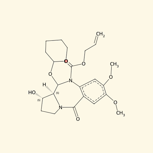 C=CCOC(=O)N1c2cc(OC)c(OC)cc2C(=O)N2CC[C@H](O)[C@H]2C1OC1CCCCO1